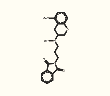 CCCN(CCCN1C(=O)c2ccccc2C1=O)C1COc2cccc(OC)c2C1